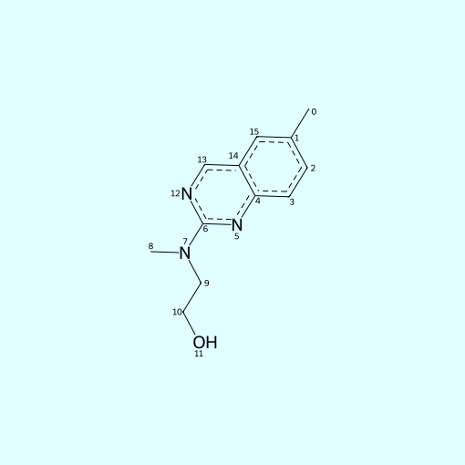 Cc1ccc2nc(N(C)CCO)ncc2c1